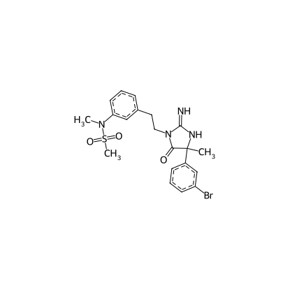 CN(c1cccc(CCN2C(=N)NC(C)(c3cccc(Br)c3)C2=O)c1)S(C)(=O)=O